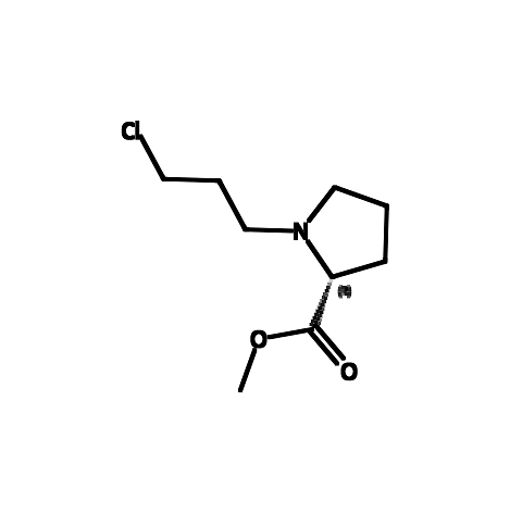 COC(=O)[C@H]1CCCN1CCCCl